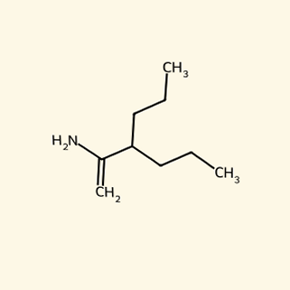 C=C(N)C(CCC)CCC